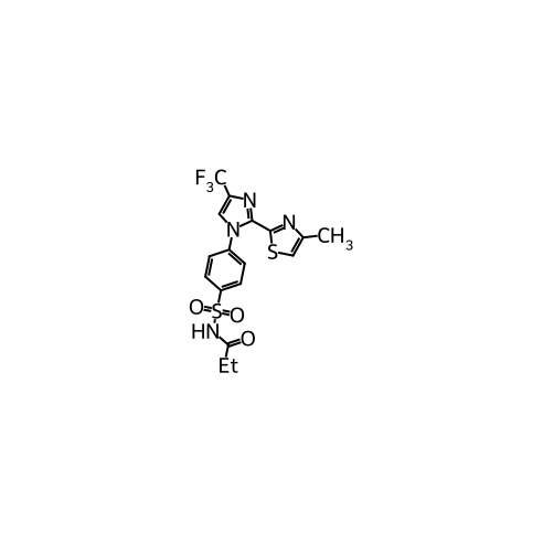 CCC(=O)NS(=O)(=O)c1ccc(-n2cc(C(F)(F)F)nc2-c2nc(C)cs2)cc1